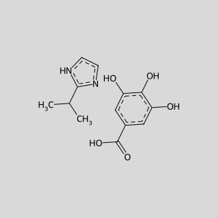 CC(C)c1ncc[nH]1.O=C(O)c1cc(O)c(O)c(O)c1